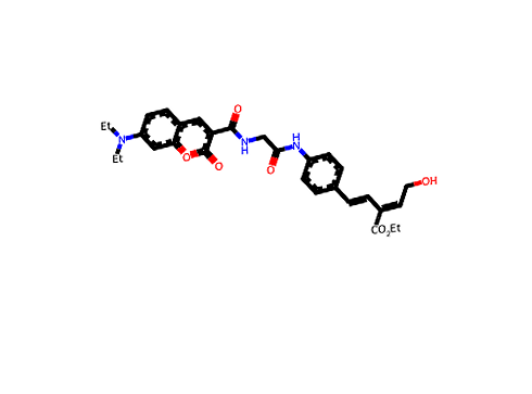 CCOC(=O)C(/C=C/c1ccc(NC(=O)CNC(=O)c2cc3ccc(N(CC)CC)cc3oc2=O)cc1)=C/CO